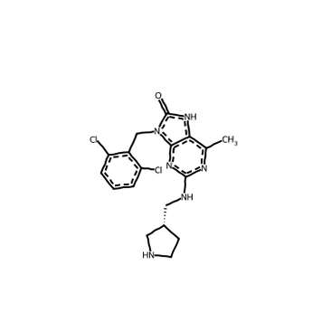 Cc1nc(NC[C@@H]2CCNC2)nc2c1[nH]c(=O)n2Cc1c(Cl)cccc1Cl